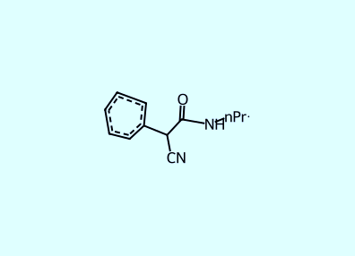 CC[CH]NC(=O)C(C#N)c1ccccc1